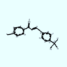 Cc1ccc(C(=O)C=Cc2ccc(C(C)(C)C)cc2)cc1